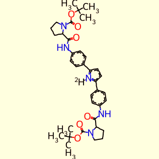 [2H]n1c(-c2ccc(NC(=O)C3CCCN3C(=O)OC(C)(C)C)cc2)ccc1-c1ccc(NC(=O)C2CCCN2C(=O)OC(C)(C)C)cc1